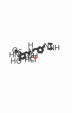 Cl.Cl.O=c1[nH]c2c(O)ccc(CC(O)NCCc3cccc(CN4CCNCC4)c3)c2s1